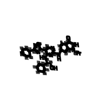 CC(C)n1[nH]c(=O)c2ccc(Nc3ncc(-c4nc(-c5ccncc5)no4)c(N[C@H](CO)c4ccccc4)n3)cc21